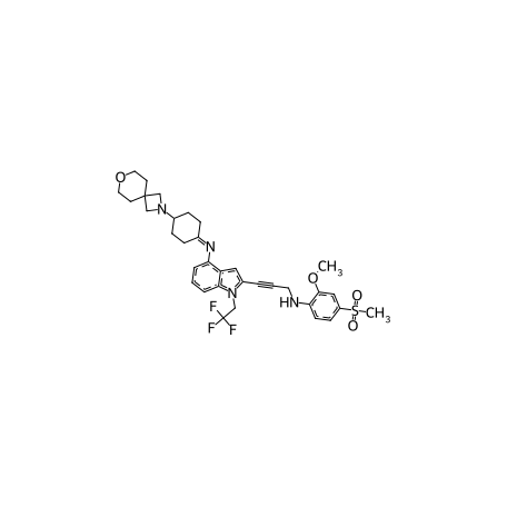 COc1cc(S(C)(=O)=O)ccc1NCC#Cc1cc2c(N=C3CCC(N4CC5(CCOCC5)C4)CC3)cccc2n1CC(F)(F)F